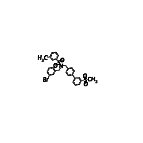 Cc1cccc(S(=O)(=O)N(Cc2ccc(-c3cccc(S(C)(=O)=O)c3)cc2)Cc2cccc(Br)c2)c1